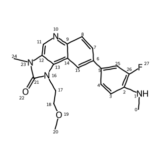 CNc1ccc(-c2ccc3ncc4c(c3c2)n(CCOC)c(=O)n4C)cc1F